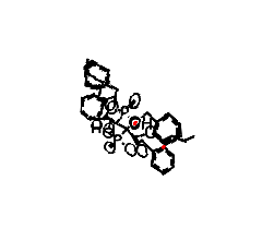 CCCCOC(=O)[C@](O)([C@@](O)(C(=O)OCCCC)P(=O)(OCc1ccccc1)OCc1ccccc1)P(=O)(OCc1ccccc1)OCc1ccccc1